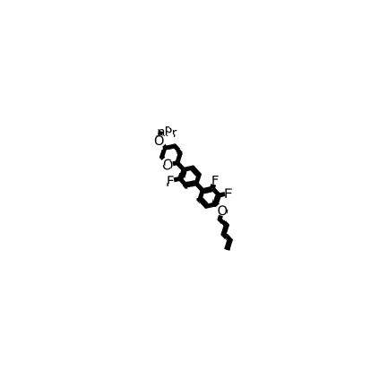 C=CCCCOc1ccc(-c2ccc(C3CCC(OCCC)CO3)c(F)c2)c(F)c1F